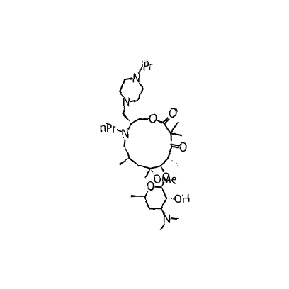 CCCN1C[C@H](C)C[C@@](C)(OC)[C@H](O[C@@H]2O[C@H](C)C[C@H](N(C)C)[C@H]2O)[C@@H](C)C(=O)C(C)(C)C(=O)OC[C@@H]1CN1CCN(C(C)C)CC1